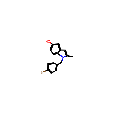 Cc1[c]c2cc(O)ccc2n1Cc1ccc(Br)cc1